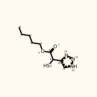 CCCCCOC(=O)C(S)c1c[nH]nn1